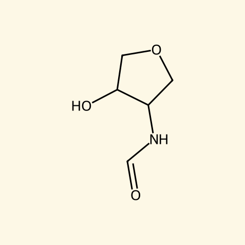 O=CNC1COCC1O